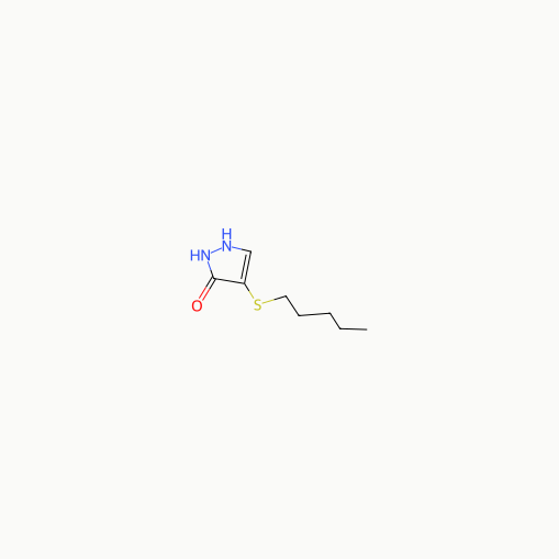 CCCCCSc1c[nH][nH]c1=O